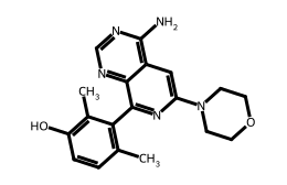 Cc1ccc(O)c(C)c1-c1nc(N2CCOCC2)cc2c(N)ncnc12